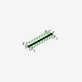 FC(F)(F)C(F)(C(F)(F)F)C(F)(F)C(F)(F)C(F)(F)C(F)(F)C(F)(F)C(F)(F)C(F)(F)C(F)(F)C(F)(C(F)(F)F)C(F)(F)F